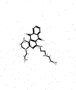 O=C1c2ccccc2C(=O)c2c3c(cc(NCCNCCO)c21)N(CCO)CCN3